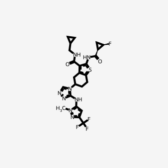 Cn1nc(C(F)(F)F)cc1Nc1nncn1C1CCc2sc(NC(=O)[C@H]3C[C@H]3F)c(C(=O)NCC3CC3)c2C1